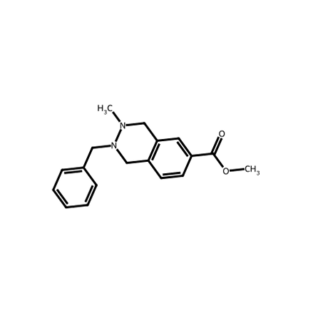 COC(=O)c1ccc2c(c1)CN(C)N(Cc1ccccc1)C2